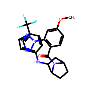 COc1ccc(C(=O)N2C3CCC2C(Nc2ccc(C(F)(F)F)cn2)C3)c(-n2nccn2)c1